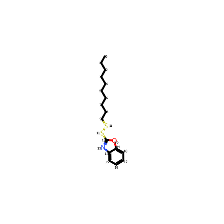 CCCCCCCCCCSSc1nc2ccccc2o1